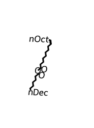 CCCCCCCC/C=C\CCCCCCCC(=O)OC(=O)CCCCCCCCCCCCCCC